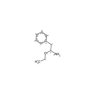 CCOC(N)Cc1ccccc1